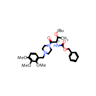 COc1ccc(CN2CCN(C(=O)[C@@H](NC(=O)OCc3ccccc3)C(C)OC(C)(C)C)CC2)c(OC)c1OC